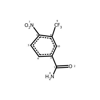 NC(=O)c1ccc([N+](=O)[O-])c(C(F)(F)F)c1